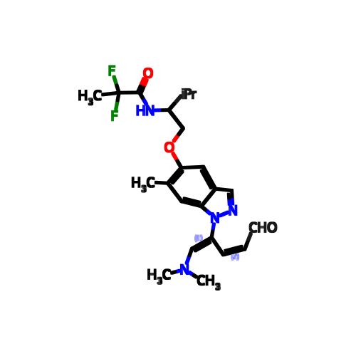 Cc1cc2c(cnn2C(/C=C\C=O)=C/N(C)C)cc1OCC(NC(=O)C(C)(F)F)C(C)C